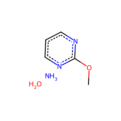 COc1ncccn1.N.O